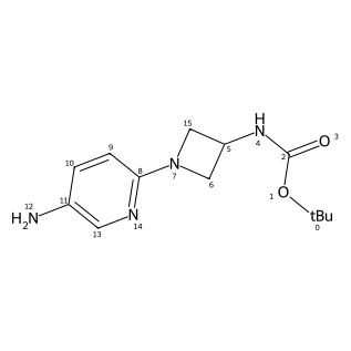 CC(C)(C)OC(=O)NC1CN(c2ccc(N)cn2)C1